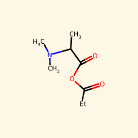 CCC(=O)OC(=O)C(C)N(C)C